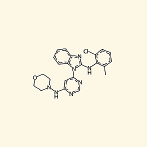 Cc1cccc(Cl)c1Nc1nc2ccccc2n1-c1cc(NN2CCOCC2)ncn1